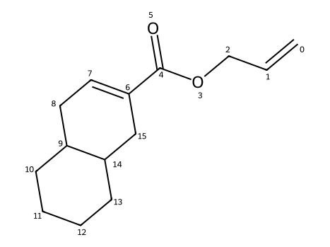 C=CCOC(=O)C1=CCC2CCCCC2C1